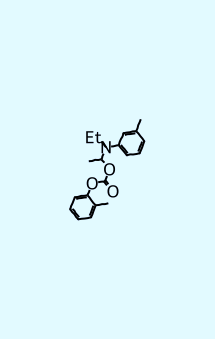 CCN(c1cccc(C)c1)C(C)OC(=O)Oc1ccccc1C